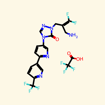 NCC(Cn1ncn(-c2ccc(-c3ccc(C(F)(F)F)nc3)nc2)c1=O)=C(F)F.O=C(O)C(F)(F)F